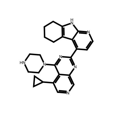 c1cc(-c2nc(N3CCNCC3)c3c(C4CC4)cncc3n2)c2c3c([nH]c2n1)CCCC3